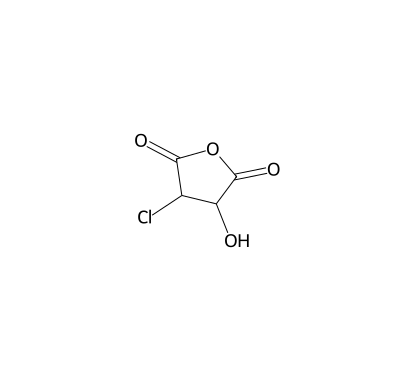 O=C1OC(=O)C(Cl)C1O